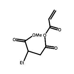 C=CC(=O)OC(=O)CC(CC)C(=O)OC